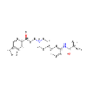 CC(C)C(=O)Nc1cccc(C2CCN(CCC(=O)c3ccc4c(c3)CCC4)CC2)c1